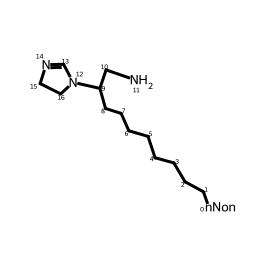 CCCCCCCCCCCCCCCCCC(CN)N1C=NCC1